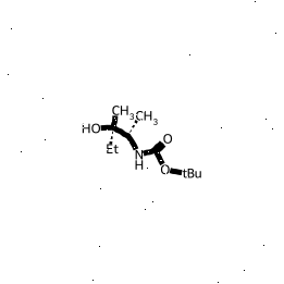 CC[C@@](C)(O)[C@H](C)NC(=O)OC(C)(C)C